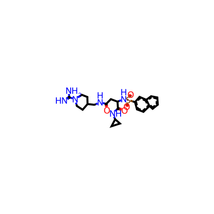 N=C(N)N1CCC(CNC(=O)CC(NS(=O)(=O)c2ccc3ccccc3c2)C(=O)NC2CC2)CC1